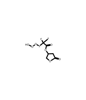 O=C1CC(OC(=O)C(F)(F)SOOO)CO1